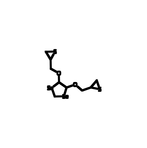 C1[Se]C(OCC2CS2)C(OCC2CS2)[Se]1